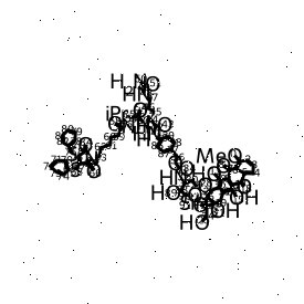 COc1cccc2c1C(=O)c1c(O)c3c(c(O)c1C2=O)C[C@@](O)(C(=O)CO)C[C@@H]3O[C@H]1C[C@H](NC(=O)OCc2ccc(NC(=O)[C@H](CCCNC(N)=O)NC(=O)[C@@H](NC(=O)CCCCCN3C(=O)C(Sc4ccccc4)=C(Sc4ccccc4)C3=O)C(C)C)cc2)[C@H](O)[C@H]([SiH3])O1